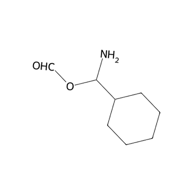 NC(OC=O)C1CCCCC1